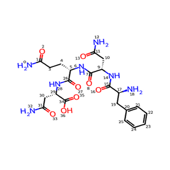 NC(=O)CC[C@H](NC(=O)[C@H](CC(N)=O)NC(=O)[C@@H](N)Cc1ccccc1)C(=O)N[C@@H](CC(N)=O)C(=O)O